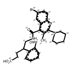 COc1ccccc1C(CCC(=O)O)CNC(=O)c1c(C)c(N2CCCCC2)nc2ccc(Br)cc12